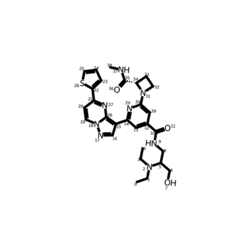 CCN(CC)C(CO)CNC(=O)c1cc(-c2cnn3ccc(-c4cccs4)nc23)nc(N2CC[C@H]2C(=O)NC)c1